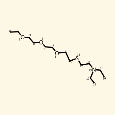 CCOCCOCCOCCSCCN(CC)CC